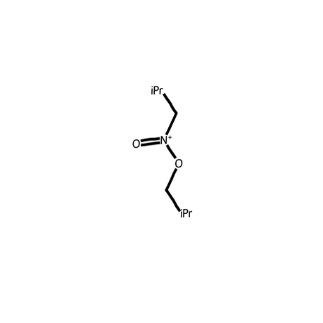 CC(C)CO[N+](=O)CC(C)C